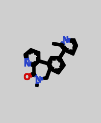 Cc1ncccc1-c1ccc2c(c1)-c1cccnc1C(=O)N(C)C2